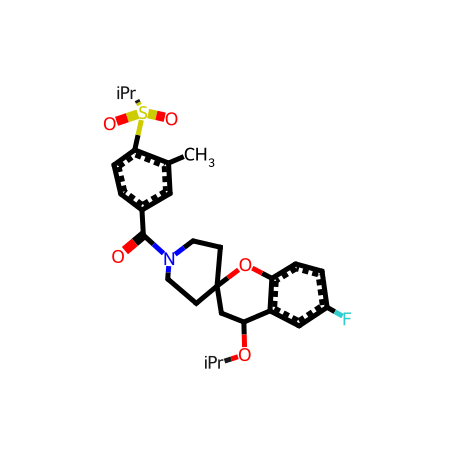 Cc1cc(C(=O)N2CCC3(CC2)CC(OC(C)C)c2cc(F)ccc2O3)ccc1S(=O)(=O)C(C)C